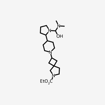 CCOC(=O)N1CCC2(CC(N3CCC(C4CCCN4C(O)N(C)C)CC3)C2)C1